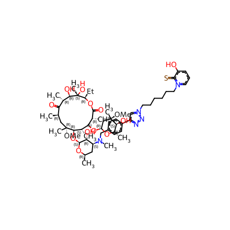 CC[C@H]1OC(=O)[C@H](C)[C@@H](O[C@H]2C[C@@](C)(OC)[C@@H](O)[C@H](C)O2)[C@H](C)[C@@H](O[C@@H]2O[C@H](C)C[C@H](N(C)Cc3ccc(-c4cn(CCCCCCn5cccc(O)c5=S)nn4)cc3)[C@H]2O)[C@](C)(OC)C[C@@H](C)C(=O)[C@H](C)[C@@H](O)[C@]1(C)O